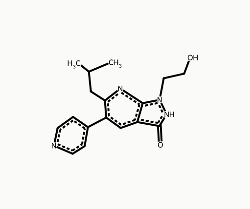 CC(C)Cc1nc2c(cc1-c1ccncc1)c(=O)[nH]n2CCO